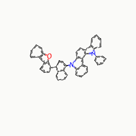 c1ccc(-n2c3ccccc3c3ccc4c(c5ccccc5n4-c4ccc(-c5cccc6c5oc5ccccc56)c5ccccc45)c32)cc1